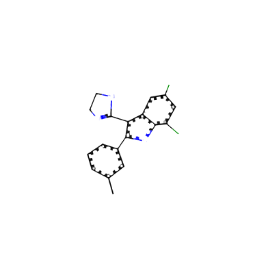 Cc1cccc(-c2[nH]c3c(Cl)cc(Cl)cc3c2C2=NCCN2)c1.Cl